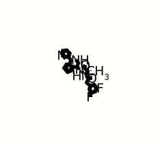 C[C@H](NC(=O)Cc1cc(F)cc(F)c1)C(=O)NC1CNC(c2cccnc2)c2ccccc21